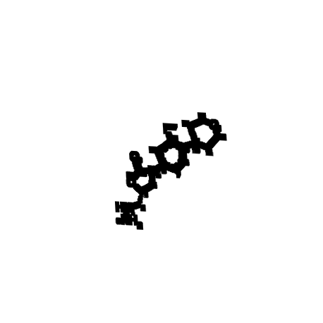 NNC[C@H]1CN(c2ccc(N3CCOCC3)c(F)c2)C(=O)O1